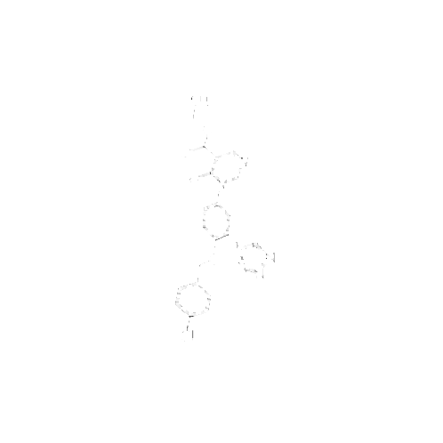 CCOC(=O)c1cncn(-c2ccc(OCc3ccc(Cl)cc3)c(-n3cnnn3)c2)c1=O